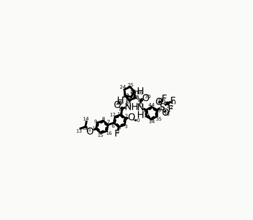 COc1cc(F)c(-c2ccc(OC(C)C)cc2)cc1C(=O)N[C@@H]1[C@H]2CC[C@H](C2)[C@@H]1C(=O)Nc1cccc(S(=O)(=O)C(F)(F)F)c1